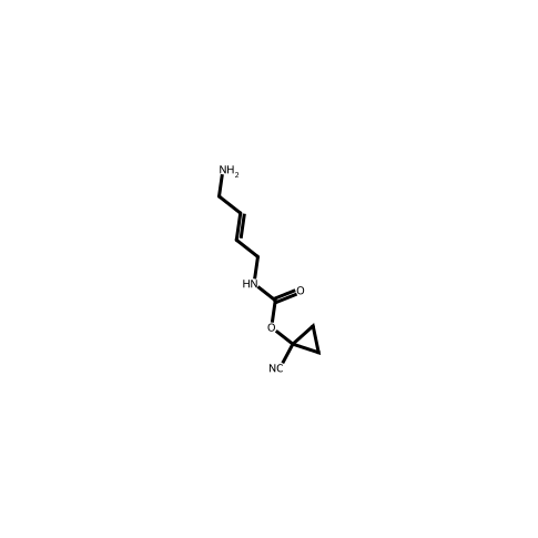 N#CC1(OC(=O)NC/C=C/CN)CC1